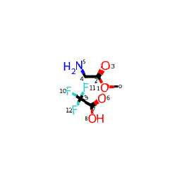 COC(=O)CN.O=C(O)C(F)(F)F